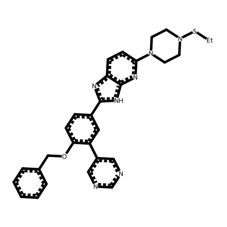 CCSN1CCN(c2ccc3nc(-c4ccc(OCc5ccccc5)c(-c5cncnc5)c4)[nH]c3n2)CC1